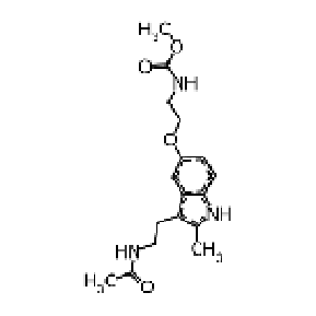 COC(=O)NCCOc1ccc2[nH]c(C)c(CCNC(C)=O)c2c1